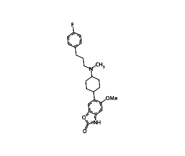 COc1cc2[nH]c(=O)oc2cc1C1CCC(N(C)CCCc2ccc(F)cc2)CC1